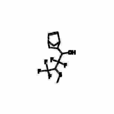 CSC(C(F)(F)F)C(F)(F)C(O)C1CC2C=CC1C2